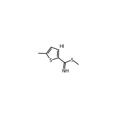 CSC(=N)c1ccc(C)s1.I